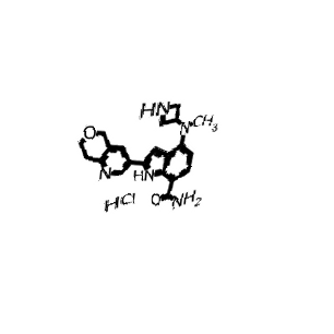 CN(c1ccc(C(N)=O)c2[nH]c(-c3cnc4c(c3)COCC4)cc12)C1CNC1.Cl